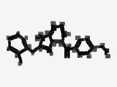 Cc1ccccc1Cc1nc2c(Nc3ccc(CF)cc3)ncnc2[nH]1